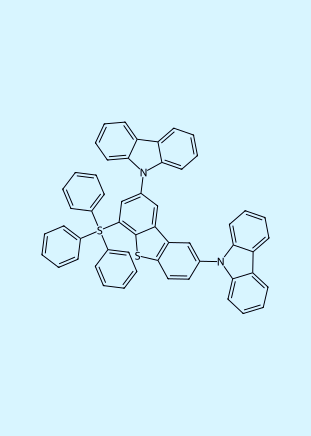 c1ccc(S(c2ccccc2)(c2ccccc2)c2cc(-n3c4ccccc4c4ccccc43)cc3c2sc2ccc(-n4c5ccccc5c5ccccc54)cc23)cc1